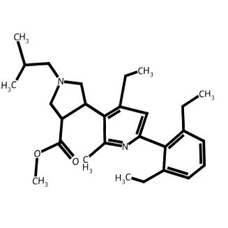 CCc1cccc(CC)c1-c1cc(CC)c(C2CN(CC(C)C)CC2C(=O)OC)c(C)n1